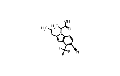 CCCc1cc2c(C(F)(F)F)c(C#N)ccc2n1C(C)C(=O)O